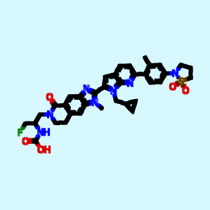 Cc1cc(N2CCCS2(=O)=O)ccc1-c1ccc2cc(-c3nc4cc5c(cc4n3C)CCN(CC(CF)NC(=O)O)C5=O)n(CC3CC3)c2n1